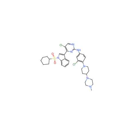 CN1CCN(C2CCN(c3ccc(Nc4ncc(Cl)c(-c5cn(S(=O)(=O)C6CCCCC6)c6ccccc56)n4)cc3Cl)CC2)CC1